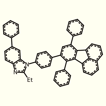 CCc1nc2ccc(-c3ccccc3)cc2n1-c1ccc(-c2cc(-c3ccccc3)c3c(c2-c2ccccc2)-c2cccc4cccc-3c24)cc1